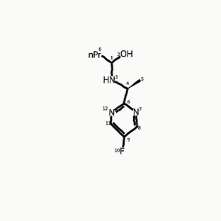 CCCC(O)N[C@@H](C)c1ncc(F)cn1